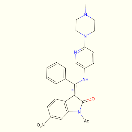 CC(=O)N1C(=O)/C(=C(\Nc2ccc(N3CCN(C)CC3)nc2)c2ccccc2)c2ccc([N+](=O)[O-])cc21